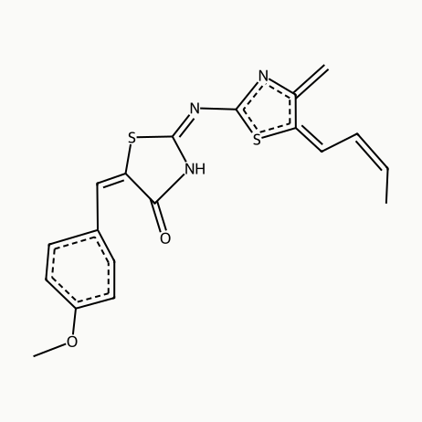 C=c1nc(/N=C2\NC(=O)/C(=C\c3ccc(OC)cc3)S2)s/c1=C/C=C\C